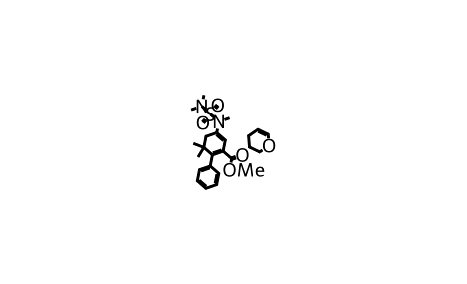 C1=COCCC1.COC(=O)C1=C(c2ccccc2)C(C)(C)CC(N(C)S(=O)(=O)N(C)C)=C1